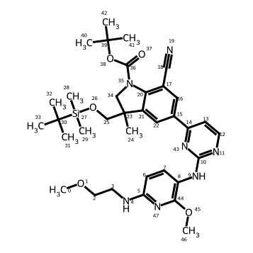 COCCNc1ccc(Nc2nccc(-c3cc(C#N)c4c(c3)C(C)(CO[Si](C)(C)C(C)(C)C)CN4C(=O)OC(C)(C)C)n2)c(OC)n1